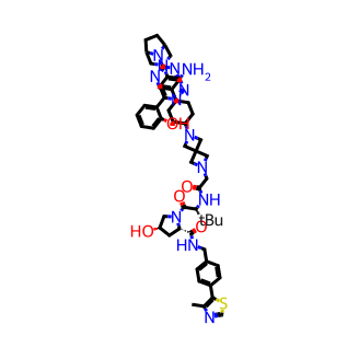 Cc1ncsc1-c1ccc(CNC(=O)[C@@H]2C[C@@H](O)CN2C(=O)[C@@H](NC(=O)CN2CC3(C2)CN(C2CCC(c4cnc(N5C6CCC5CN(c5cc(-c7ccccc7O)nnc5N)C6)nc4)CC2)C3)C(C)(C)C)cc1